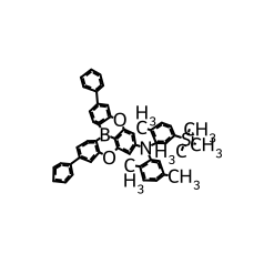 Cc1ccc(C)c(N(c2cc3c4c(c2)Oc2cc(-c5ccccc5)ccc2B4c2ccc(-c4ccccc4)cc2O3)c2cc([Si](C)(C)C)ccc2C)c1